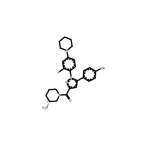 N#Cc1ccc(-c2cc(C(=O)N3CCC[C@@H](N)C3)nn2-c2ccc(N3CCCCC3)cc2F)cc1